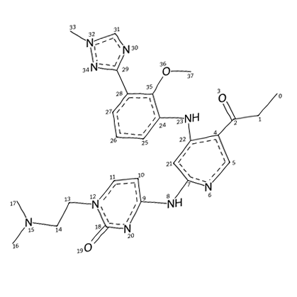 CCC(=O)c1cnc(Nc2ccn(CCN(C)C)c(=O)n2)cc1Nc1cccc(-c2ncn(C)n2)c1OC